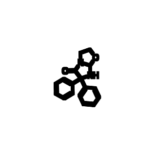 O=C1N2CCOC2NC1(c1ccccc1)c1ccccc1